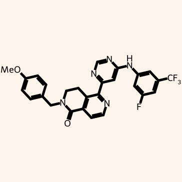 COc1ccc(CN2CCc3c(ccnc3-c3cc(Nc4cc(F)cc(C(F)(F)F)c4)ncn3)C2=O)cc1